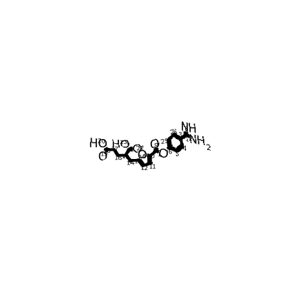 N=C(N)c1ccc(OC(=O)c2ccc(CC(CCC(=O)O)C(=O)O)o2)cc1